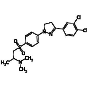 CC(CS(=O)(=O)c1ccc(N2CCC(c3ccc(Cl)c(Cl)c3)=N2)cc1)N(C)C